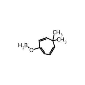 BOC1=CC=CC(C)(C)C=C1